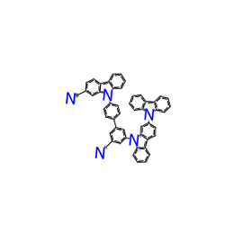 N#Cc1cc(-c2ccc(-n3c4ccccc4c4ccc(C#N)cc43)cc2)cc(-n2c3ccccc3c3ccc(-n4c5ccccc5c5ccccc54)cc32)c1